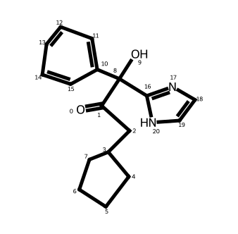 O=C(CC1CCCC1)C(O)(c1ccccc1)c1ncc[nH]1